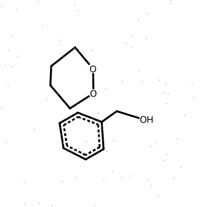 C1CCOOC1.OCc1ccccc1